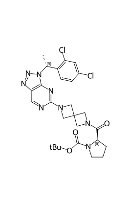 C[C@H](c1ccc(Cl)cc1Cl)n1nnc2cnc(N3CC4(CN(C(=O)[C@H]5CCCN5C(=O)OC(C)(C)C)C4)C3)nc21